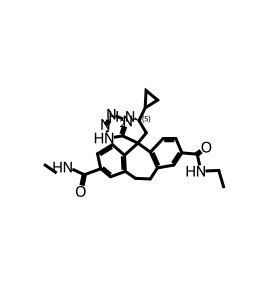 CCNC(=O)c1ccc2c(c1)CCc1cc(C(=O)NCC)ccc1C2(C[C@H](N)C1CC1)c1nnn[nH]1